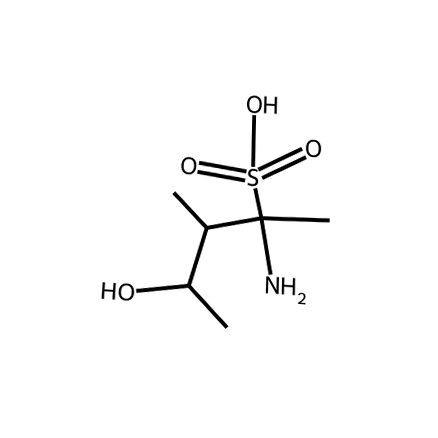 CC(O)C(C)C(C)(N)S(=O)(=O)O